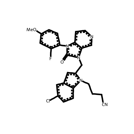 COc1ccc(-n2c(=O)n(Cc3cc4cc(Cl)ccc4n3CCCC#N)c3cnccc32)c(F)c1